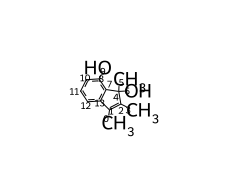 CC1=C(C)C(C)(O)c2c(O)cccc21